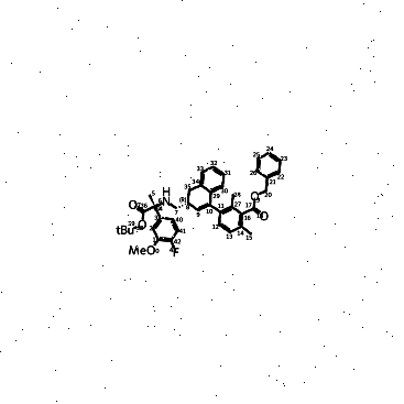 COc1cc([C@@](C)(NC[C@H]2C=C(c3ccc(C)c(C(=O)OCc4ccccc4)c3C)c3ccccc3C2)C(=O)OC(C)(C)C)ccc1F